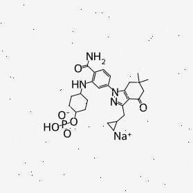 CC1(C)CC(=O)c2c(CC3CC3)nn(-c3ccc(C(N)=O)c(NC4CCC(OP(=O)([O-])O)CC4)c3)c2C1.[Na+]